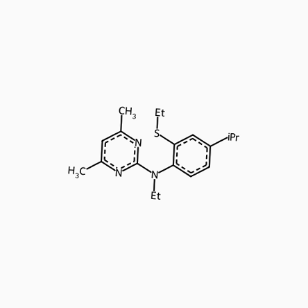 CCSc1cc(C(C)C)ccc1N(CC)c1nc(C)cc(C)n1